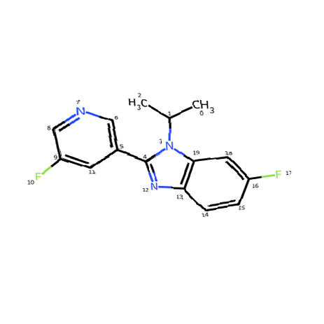 CC(C)n1c(-c2cncc(F)c2)nc2ccc(F)cc21